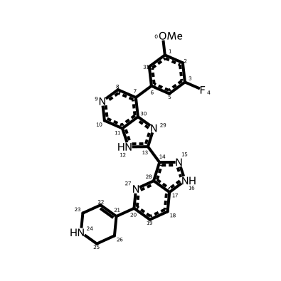 COc1cc(F)cc(-c2cncc3[nH]c(-c4n[nH]c5ccc(C6=CCNCC6)nc45)nc23)c1